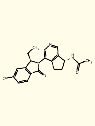 CC[C@@H]1c2cc(Cl)ccc2C(=O)N1c1cncc2c1CC[C@H]2NC(C)=O